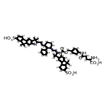 CC1(C)C(/C=C/C2=C(c3ccccc3)C(=C/C=C3/N(C(=O)OCc4ccc(NC(=O)CC[C@H](N)C(=O)O)cc4)c4cc5c(cc4C3(C)C)-c3ccc(S(=O)(=O)O)cc3C5(C)C)/CCC2)=Nc2cc3c(cc21)-c1ccc(S(=O)(=O)O)cc1C3(C)C